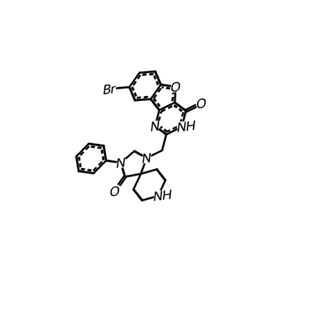 O=C1N(c2ccccc2)CN(Cc2nc3c(oc4ccc(Br)cc43)c(=O)[nH]2)C12CCNCC2